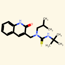 CC(C)CN(Cc1cc2ccccc2[nH]c1=O)C(=S)NC(C)(C)C